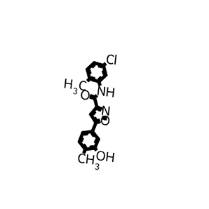 Cc1ccc(-c2cc(C(=O)Nc3cc(Cl)ccc3C)no2)cc1O